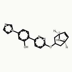 Oc1cc(-n2ccnc2)ccc1-c1ccc(OC2C[C@H]3C=C[C@@H](C2)N3)nn1